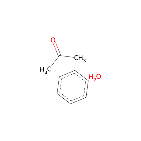 CC(C)=O.O.c1ccccc1